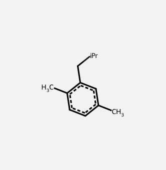 Cc1ccc(C)c(CC(C)C)c1